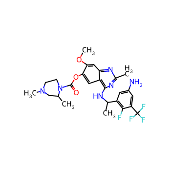 COc1cc2nc(C)nc(NC(C)c3cc(N)cc(C(F)(F)F)c3F)c2cc1OC(=O)N1CCN(C)CC1C